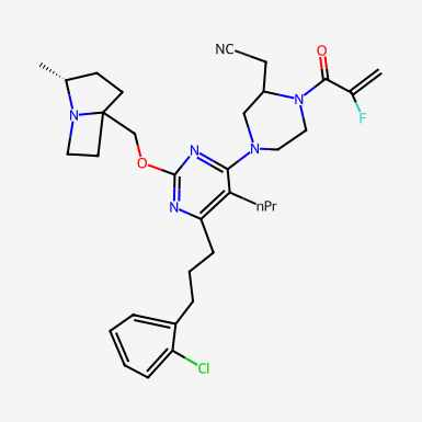 C=C(F)C(=O)N1CCN(c2nc(OCC34CC[C@@H](C)N3CC4)nc(CCCc3ccccc3Cl)c2CCC)CC1CC#N